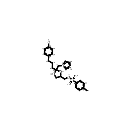 Cc1ccc(S(=O)(=O)OCC2COC(CCCc3ccc(Cl)cc3)(Cn3ccnc3)O2)cc1